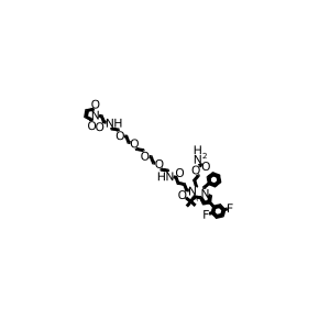 CC(C)(C)[C@H](c1cc(-c2cc(F)ccc2F)cn1Cc1ccccc1)N(CCCOC(N)=O)C(=O)CCC(=O)NCCOCCOCCOCCOCCNC(=O)CN1C(=O)C=CC1=O